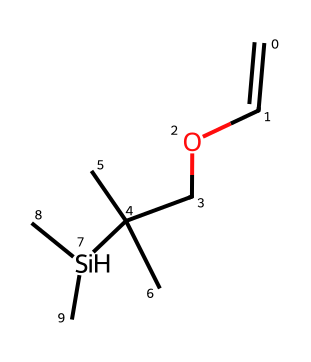 C=COCC(C)(C)[SiH](C)C